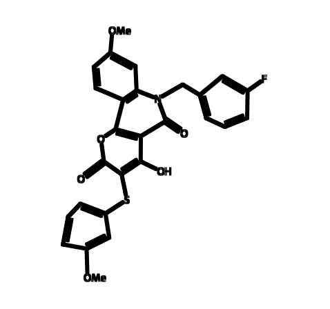 COc1cccc(Sc2c(O)c3c(=O)n(Cc4cccc(F)c4)c4cc(OC)ccc4c3oc2=O)c1